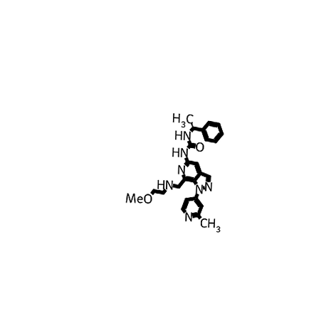 COCCNCc1nc(NC(=O)N[C@H](C)c2ccccc2)cc2cnn(-c3ccnc(C)c3)c12